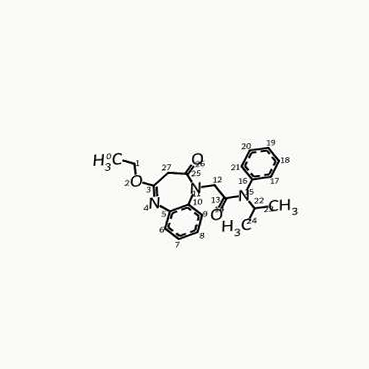 CCOC1=Nc2ccccc2N(CC(=O)N(c2ccccc2)C(C)C)C(=O)C1